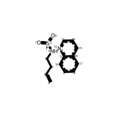 C=CCCN[SH](=O)=O.c1ccc2ncccc2c1